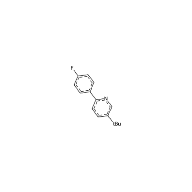 CC(C)(C)c1ccc(-c2ccc(F)cc2)nc1